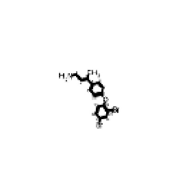 CC(CCN)c1ccc(Oc2ccc(Br)cc2Br)cc1